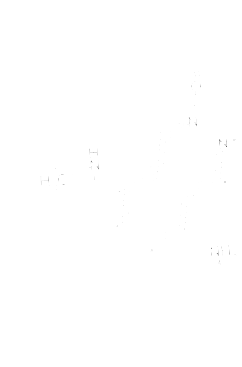 CNc1ccc(N)c2cn[n+]([O-])cc12